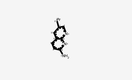 CC(C)c1cnc2nc(N)ccc2c1